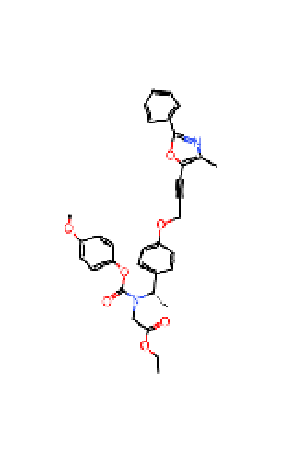 CCOC(=O)CN(C(=O)Oc1ccc(OC)cc1)[C@@H](C)c1ccc(OCC#Cc2oc(-c3ccccc3)nc2C)cc1